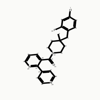 CC1(Cc2ccc(Cl)cc2F)CCN(C(=O)c2cccnc2-c2ccncc2)CC1